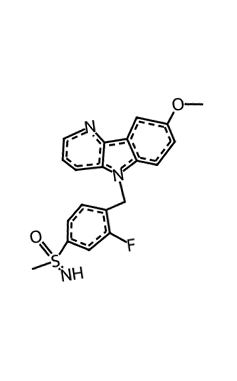 COc1ccc2c(c1)c1ncccc1n2Cc1ccc(S(C)(=N)=O)cc1F